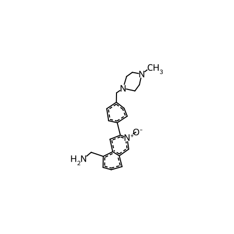 CN1CCN(Cc2ccc(-c3cc4c(CN)cccc4c[n+]3[O-])cc2)CC1